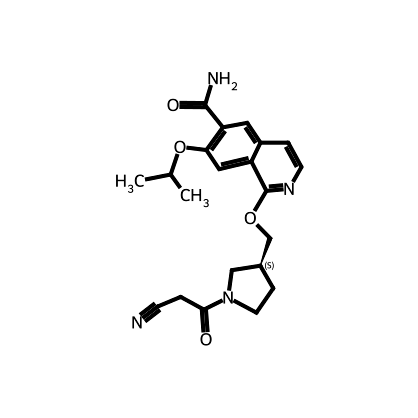 CC(C)Oc1cc2c(OC[C@H]3CCN(C(=O)CC#N)C3)nccc2cc1C(N)=O